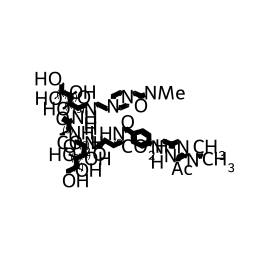 CNC(=O)CN1CCN(CCNC(=O)[C@@H](NC(=O)[C@H](CC(=O)O)NC(=O)[C@@H](NC(=O)CC[C@H](NC(=O)c2ccc(NCc3cnc(N=C(C)C)c(C(C)=O)n3)cc2)C(=O)O)[C@@H](O)[C@H](O)[C@H](O)CO)[C@@H](O)[C@H](O)[C@H](O)CO)CC1